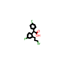 O=C(O)C(c1ccc(F)cc1)c1ccc(F)cc1CCCBr